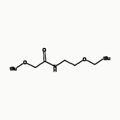 CC(C)(C)COCCNC(=O)COC(C)(C)C